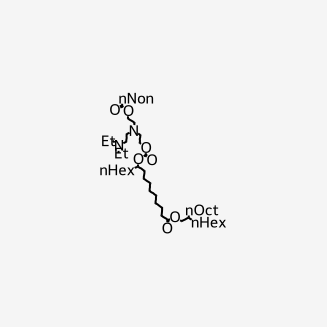 CCCCCCCCCC(=O)OCCN(CCOC(=O)OC(CCCCCC)CCCCCCCCC(=O)OCC(CCCCCC)CCCCCCCC)CCN(CC)CC